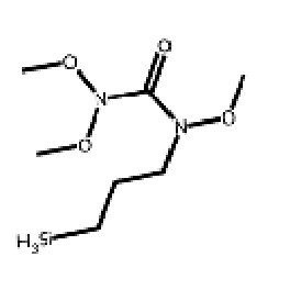 CON(CCC[SiH3])C(=O)N(OC)OC